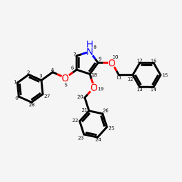 c1ccc(COc2c[nH]c(OCc3ccccc3)c2OCc2ccccc2)cc1